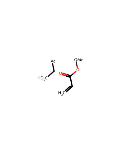 C=CC(=O)OOC.CC(=O)CC(=O)O